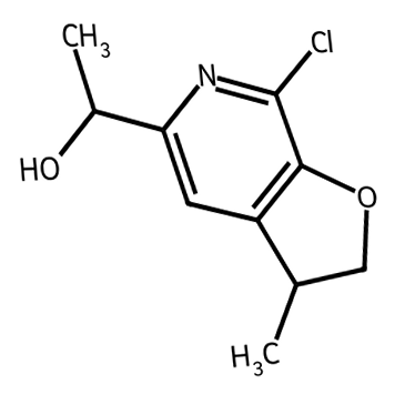 CC(O)c1cc2c(c(Cl)n1)OCC2C